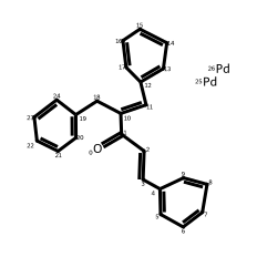 O=C(C=Cc1ccccc1)C(=Cc1ccccc1)Cc1ccccc1.[Pd].[Pd]